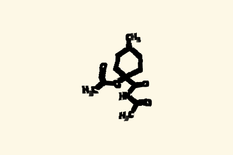 CC(=O)NC(=O)C1(OC(C)=O)CCN(C)CC1